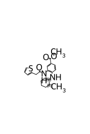 COC(=O)c1ccc(N[C@@H]2CCCC[C@H]2C)c(NC(=O)Cc2cccs2)c1